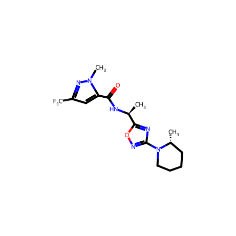 C[C@H](NC(=O)c1cc(C(F)(F)F)nn1C)c1nc(N2CCCC[C@H]2C)no1